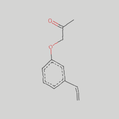 C=Cc1cccc(OCC(C)=O)c1